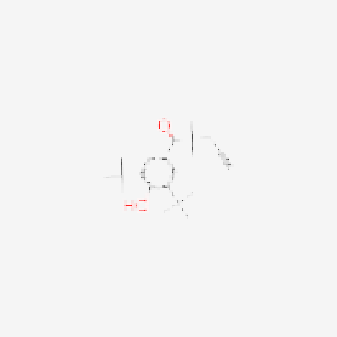 C#CCC(C)(C)C(=O)c1cc(C(C)(C)C)c(O)c(C(C)(C)C)c1